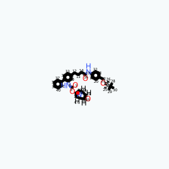 CN1[C@@H]2C[C@@H](OC(=O)Nc3cc(CCCC(=O)Nc4ccc(CO[Si](C)(C)C(C)(C)C)cc4)ccc3-c3ccccc3)C[C@H]1[C@@H]1O[C@@H]12